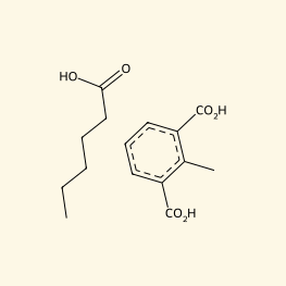 CCCCCC(=O)O.Cc1c(C(=O)O)cccc1C(=O)O